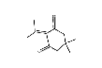 CC(I)=C1C(=O)CC(C)(C)CC1=O